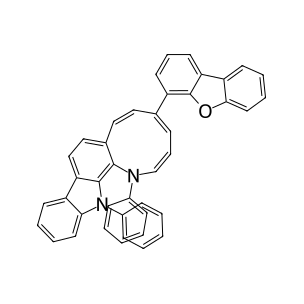 c1ccc(-n2cccc(-c3cccc4c3oc3ccccc34)ccc3ccc4c5ccccc5n(-c5ccccc5)c4c32)cc1